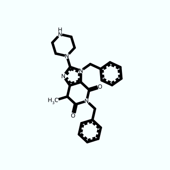 CC1C(=O)N(Cc2ccccc2)C(=O)c2c1nc(N1CCNCC1)n2Cc1ccccc1